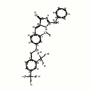 COc1cc(OCc2ccc(C(F)(F)F)cc2C(F)(F)F)ccc1C=C1SC(Nc2ccccc2)=NC1=O